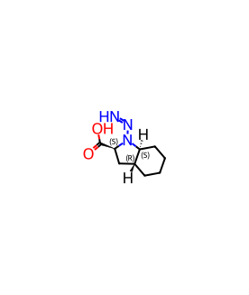 N=NN1[C@H](C(=O)O)C[C@H]2CCCC[C@@H]21